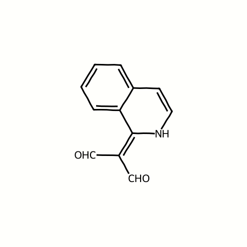 O=CC(C=O)=C1NC=Cc2ccccc21